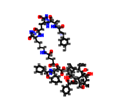 CC(=O)O[C@H]1C(=O)[C@@]2(C)[C@H]([C@H](OC(=O)c3ccccc3)[C@]3(O)C[C@H](OC(=O)[C@H](OC(=O)CCC(=O)NCCCCC(NC(=O)CC[C@H](NC(=O)C(C)NC(=O)/C=C/c4ccc(C)cc4)C(N)=O)C(N)=O)[C@H](NC(=O)c4ccccc4)c4ccccc4)C(C)=C1C3(C)C)[C@]1(OC(C)=O)CO[C@@H]1C[C@@H]2O